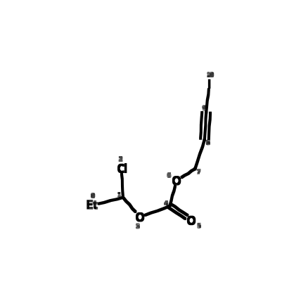 CCC(Cl)OC(=O)OCC#CI